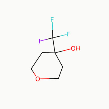 OC1(C(F)(F)I)CCOCC1